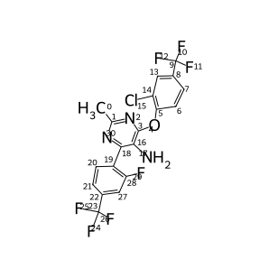 Cc1nc(Oc2ccc(C(F)(F)F)cc2Cl)c(N)c(-c2ccc(C(F)(F)F)cc2F)n1